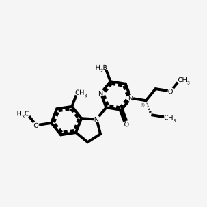 Bc1cn([C@@H](CC)COC)c(=O)c(N2CCc3cc(OC)cc(C)c32)n1